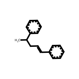 CC(C/C=C/c1ccccc1)c1ccccc1